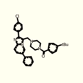 CC(C)(C)c1ccc(C(=O)N2CCN(Cc3c(-c4ccc(Cl)cc4)nc4ccc(-c5ccccc5)cn34)CC2)cc1